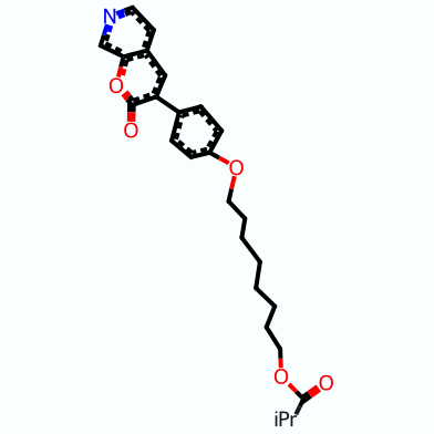 CC(C)C(=O)OCCCCCCCCOc1ccc(-c2cc3ccncc3oc2=O)cc1